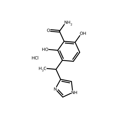 CC(c1c[nH]cn1)c1ccc(O)c(C(N)=O)c1O.Cl